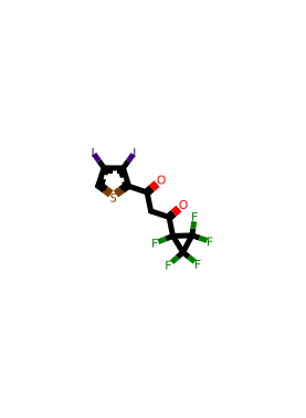 O=C(CC(=O)C1(F)C(F)(F)C1(F)F)c1scc(I)c1I